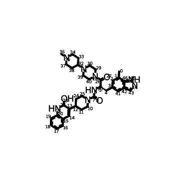 Cc1cc(C[C@@H](NC(=O)N2CCC(C3=Cc4ccccc4NC3O)CC2)C(=O)N2CCN(C3CCN(C)CC3)CC2)cc2cn[nH]c12